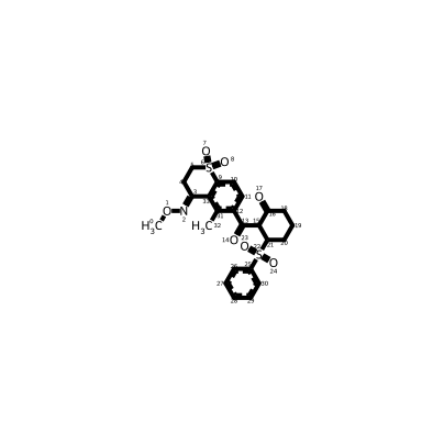 CON=C1CCS(=O)(=O)c2ccc(C(=O)C3C(=O)CCCC3S(=O)(=O)c3ccccc3)c(C)c21